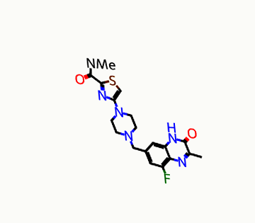 CNC(=O)c1nc(N2CCN(Cc3cc(F)c4nc(C)c(=O)[nH]c4c3)CC2)cs1